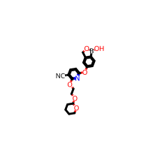 N#Cc1ccc(Oc2ccc3c(c2)COB3O)nc1OCCOC1CCCCO1